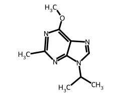 COc1nc(C)nc2c1ncn2C(C)C